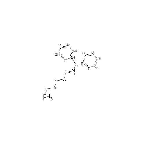 CCCC=CC=NC(c1ccccc1)c1ccccc1